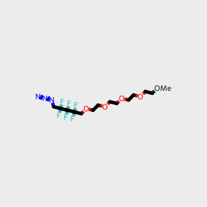 COCCOCCOCCOCCOCC(F)(F)C(F)(F)C(F)(F)CN=[N+]=[N-]